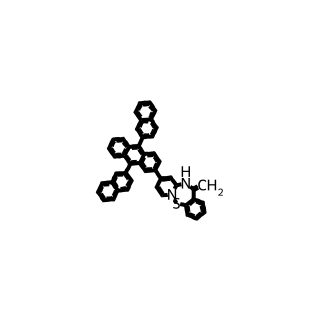 C=C1NC2C=C(c3ccc4c(-c5ccc6ccccc6c5)c5ccccc5c(-c5ccc6ccccc6c5)c4c3)C=CN2Sc2ccccc21